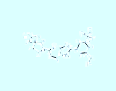 O=C(/C=C\n1cnc(-c2cc(CF)cc(C(F)(F)F)c2)n1)N1CCC2(CNC2)C1